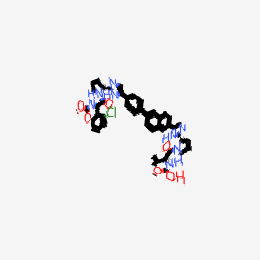 COC(=O)NC(C(=O)N1CCC[C@H]1c1ncc(-c2ccc(-c3ccc4cc(-c5cnc([C@@H]6CCCN6C(=O)[C@@H](NC(O)OC)C(C)C)[nH]5)ccc4c3)cc2)[nH]1)c1ccccc1Cl